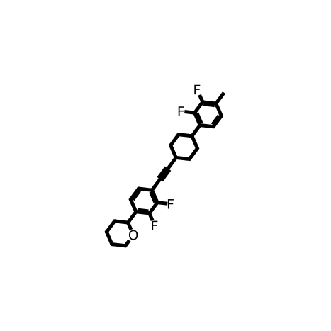 Cc1ccc(C2CCC(C#Cc3ccc(C4CCCCO4)c(F)c3F)CC2)c(F)c1F